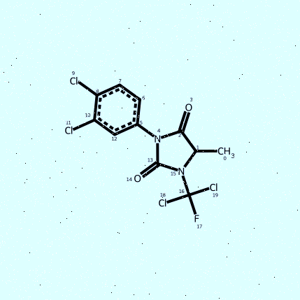 CC1C(=O)N(c2ccc(Cl)c(Cl)c2)C(=O)N1C(F)(Cl)Cl